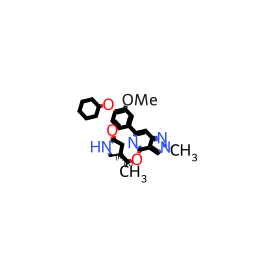 COc1cc(-c2cc3nn(C)cc3c(O[C@H](C)[C@H]3CNC(=O)C3)n2)ccc1OC1CCCCC1